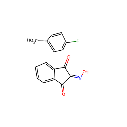 O=C(O)c1ccc(F)cc1.O=c1c(=NO)c(=O)c2ccccc12